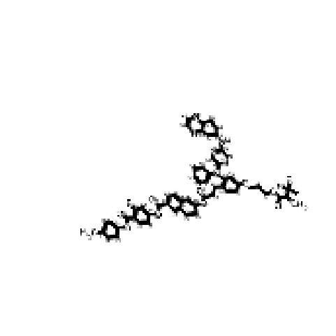 C=C(C(=O)OCCCOc1ccc(CCC(=O)Oc2ccc3cc(C(=O)Oc4ccc(C(=O)Oc5ccc(C)cc5)c(F)c4)ccc3c2)c(N(c2ccccc2)c2cnc(Nc3ccc4nccnc4c3)cn2)c1)C(F)(F)F